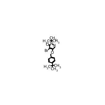 CC(C)(C)c1ccc(COc2cnn(C(C)(C)C)c(=O)c2Br)cc1